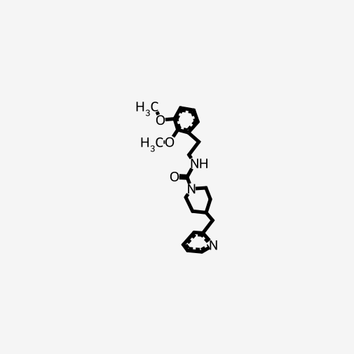 COc1cccc(CCNC(=O)N2CCC(Cc3ccccn3)CC2)c1OC